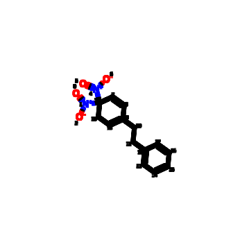 O=[N+]([O-])C1([N+](=O)[O-])C=CC(CCc2ccccc2)=CC1